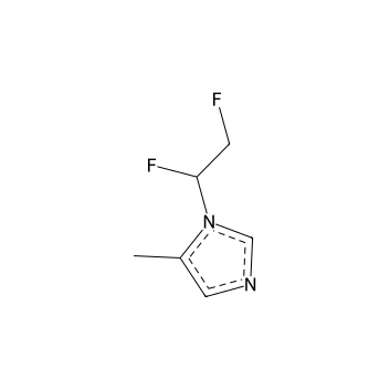 Cc1cncn1C(F)CF